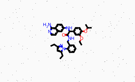 CCOc1cc(C(Nc2ccc3c(N)nccc3c2)C(=O)NCc2ccccc2-n2nc(CC)cc2CC)ccc1OC(C)C